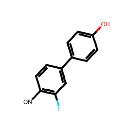 O=Nc1ccc(-c2ccc(O)cc2)cc1F